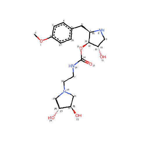 COc1ccc(C[C@H]2NC[C@H](O)[C@H]2OC(=O)NCCN2C[C@@H](O)[C@H](O)C2)cc1